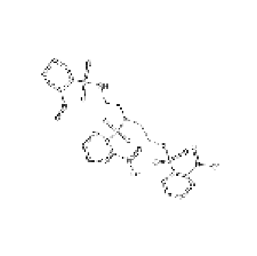 O=Nc1ccccc1S(=O)(=O)NCCN(CCNS(=O)(=O)c1ccccc1[N+](=O)[O-])S(=O)(=O)c1ccccc1[N+](=O)[O-]